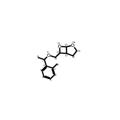 Cc1ccccc1C(C)OCC1OC2OCCC12